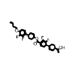 C=CCCOc1ccc(C2CCC(OC(=O)c3ccc(C4CCC(C(C)O)CC4)c(F)c3F)CC2)c(F)c1F